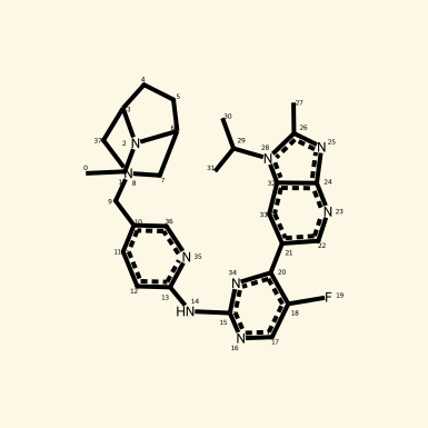 CCN1C2CCC1CN(Cc1ccc(Nc3ncc(F)c(-c4cnc5nc(C)n(C(C)C)c5c4)n3)nc1)C2